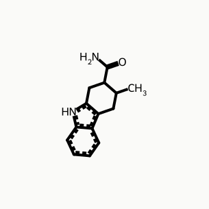 CC1Cc2c([nH]c3ccccc23)CC1C(N)=O